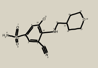 N#Cc1cc(S(N)(=O)=O)cc(Cl)c1NCC1CCOCC1